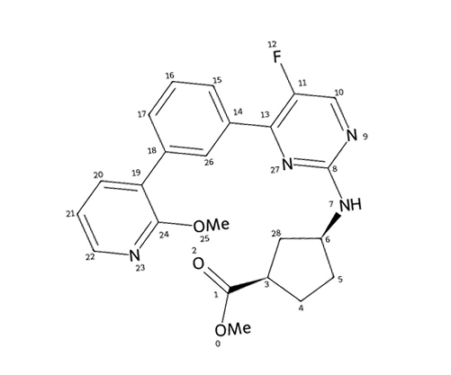 COC(=O)[C@@H]1CC[C@H](Nc2ncc(F)c(-c3cccc(-c4cccnc4OC)c3)n2)C1